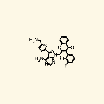 C[C@H](c1oc2ccccc2c(=O)c1-c1cccc(F)c1)n1nc(-c2ccc(CN)s2)c2c(N)ncnc21